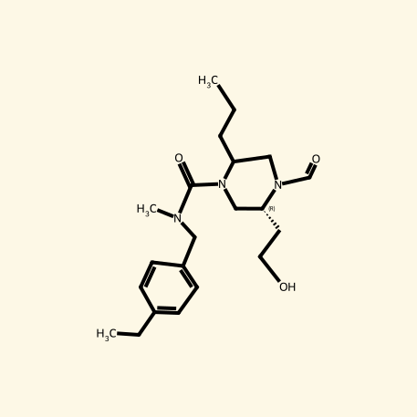 CCCC1CN(C=O)[C@H](CCO)CN1C(=O)N(C)Cc1ccc(CC)cc1